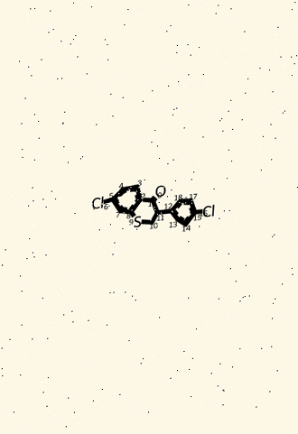 O=C1c2ccc(Cl)cc2SCC1c1ccc(Cl)cc1